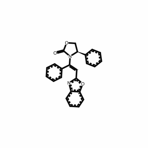 O=C1OC[C@@H](c2ccccc2)N1C(=[C]c1nc2ccccc2o1)c1ccccc1